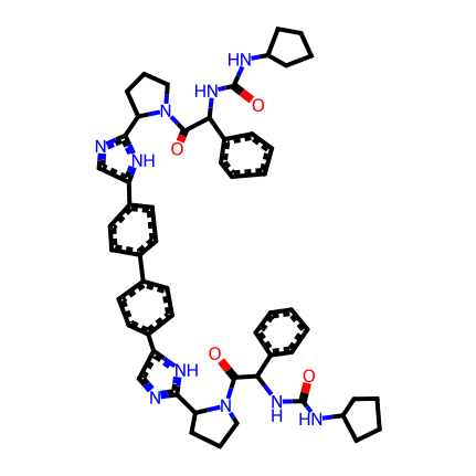 O=C(NC1CCCC1)NC(C(=O)N1CCCC1c1ncc(-c2ccc(-c3ccc(-c4cnc(C5CCCN5C(=O)C(NC(=O)NC5CCCC5)c5ccccc5)[nH]4)cc3)cc2)[nH]1)c1ccccc1